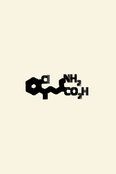 CC(CCC(CN)C(=O)O)c1ccccc1Cl